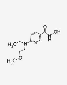 CCN(CCOC)c1ccc(C(=O)NO)cn1